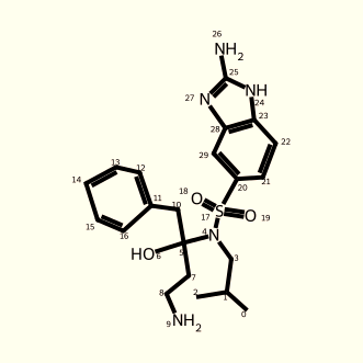 CC(C)CN(C(O)(CCN)Cc1ccccc1)S(=O)(=O)c1ccc2[nH]c(N)nc2c1